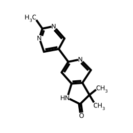 Cc1ncc(-c2cc3c(cn2)C(C)(C)C(=O)N3)cn1